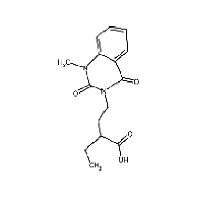 CCC(CCn1c(=O)c2ccccc2n(C)c1=O)C(=O)O